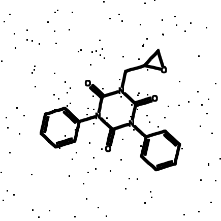 O=c1n(CC2CO2)c(=O)n(-c2ccccc2)c(=O)n1-c1ccccc1